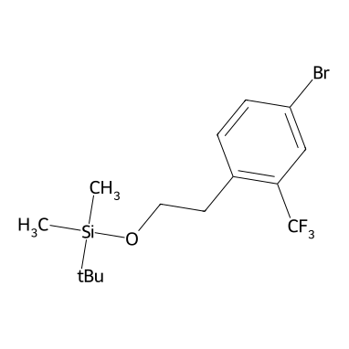 CC(C)(C)[Si](C)(C)OCCc1ccc(Br)cc1C(F)(F)F